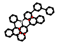 c1ccc(-c2cccc(-c3ccc(N(c4ccccc4-c4ccc5ccccc5c4)c4ccccc4-c4cc5ccccc5c5ccccc45)cc3)c2)cc1